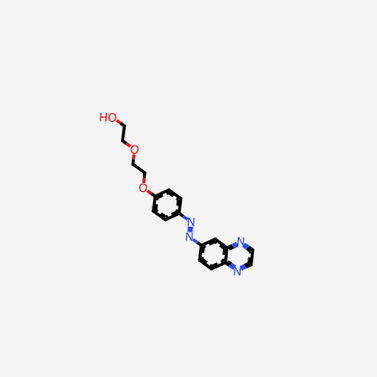 OCCOCCOc1ccc(N=Nc2ccc3nccnc3c2)cc1